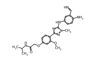 COc1cc(OCC(=O)NC(C)C)ccc1-c1nc(Nc2ccc(N)c(C=N)c2)n(C)n1